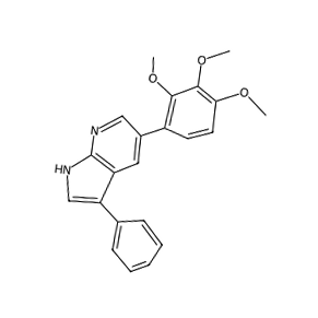 COc1ccc(-c2cnc3[nH]cc(-c4ccccc4)c3c2)c(OC)c1OC